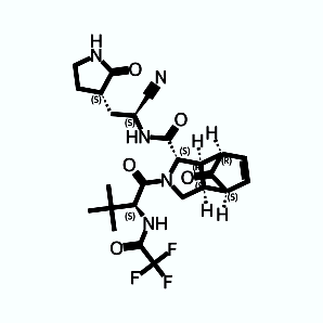 CC(C)(C)[C@H](NC(=O)C(F)(F)F)C(=O)N1C[C@H]2[C@@H]([C@H]1C(=O)N[C@H](C#N)C[C@@H]1CCNC1=O)[C@H]1C=C[C@@H]2C1=O